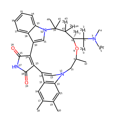 [2H]C([2H])(N(C)C(C)C)[C@@]1([2H])OC(C)Cn2cc(c3cc(C)c(C)cc32)C2=C(C(=O)NC2=O)c2cn(c3ccccc23)C(C)(C)C1([2H])[2H]